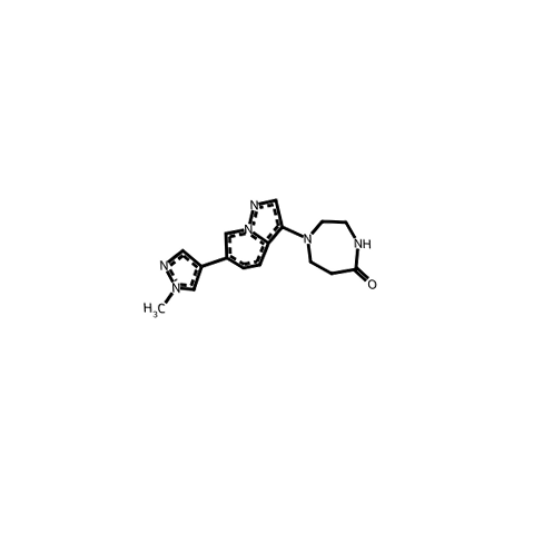 Cn1cc(-c2ccc3c(N4CCNC(=O)CC4)cnn3c2)cn1